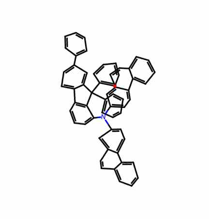 c1ccc(-c2ccc3c(c2)C(c2ccccc2)(c2ccccc2)c2c-3cccc2N(c2ccc3c(ccc4ccccc43)c2)c2ccc3c(ccc4ccccc43)c2)cc1